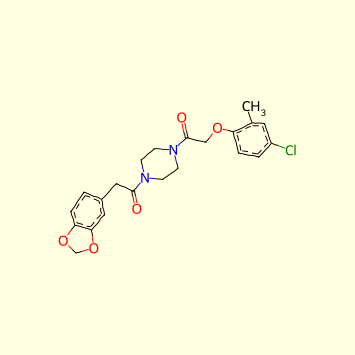 Cc1cc(Cl)ccc1OCC(=O)N1CCN(C(=O)Cc2ccc3c(c2)OCO3)CC1